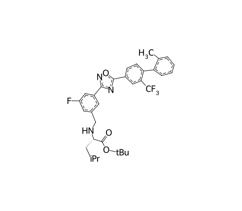 Cc1ccccc1-c1ccc(-c2nc(-c3cc(F)cc(CN[C@@H](CC(C)C)C(=O)OC(C)(C)C)c3)no2)cc1C(F)(F)F